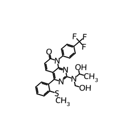 CSc1ccccc1-c1nc(N(CO)C(C)O)nc2c1ccc(=O)n2-c1ccc(C(F)(F)F)cc1